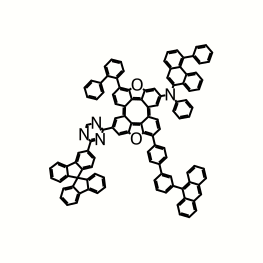 c1ccc(-c2ccccc2-c2ccc3c4cc(-c5ncnc(-c6ccc7c(c6)-c6ccccc6C76c7ccccc7-c7ccccc76)n5)cc5oc6c(-c7ccc(-c8cccc(-c9c%10ccccc%10cc%10ccccc9%10)c8)cc7)ccc(c7cc(N(c8ccccc8)c8cc9cccc(-c%10ccccc%10)c9c9ccccc89)cc8oc2c3c87)c6c54)cc1